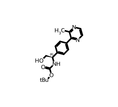 Cc1nccnc1-c1ccc([C@H](CO)NC(=O)OC(C)(C)C)cc1